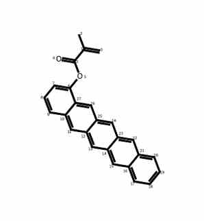 C=C(C)C(=O)Oc1cccc2cc3cc4cc5ccccc5cc4cc3cc12